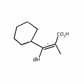 C/C(C(=O)O)=C(/C1CCCCC1)C(C)(C)C